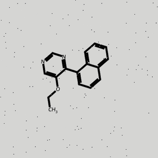 CCOc1cn[c]nc1-c1cccc2ccccc12